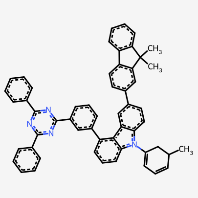 CC1C=CC=C(n2c3ccc(-c4ccc5c(c4)C(C)(C)c4ccccc4-5)cc3c3c(-c4cccc(-c5nc(-c6ccccc6)nc(-c6ccccc6)n5)c4)cccc32)C1